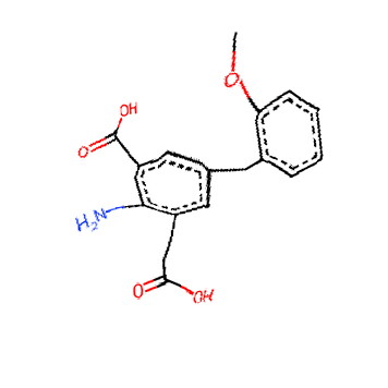 COc1ccccc1-c1cc(C(=O)O)c(N)c(C(=O)O)c1